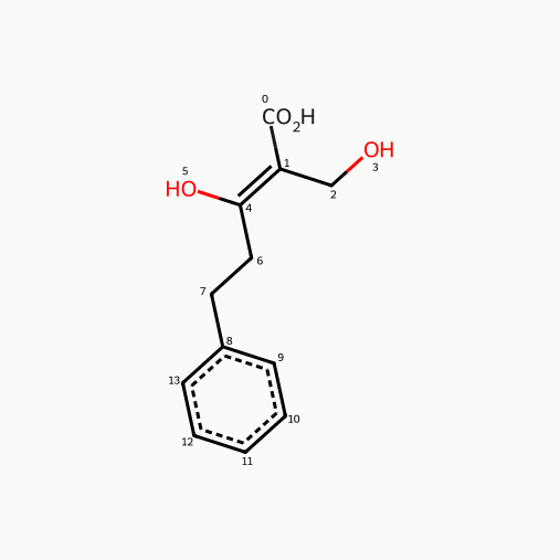 O=C(O)C(CO)=C(O)CCc1ccccc1